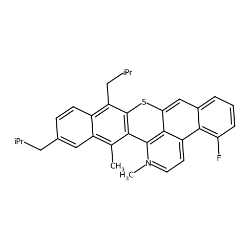 Cc1c2c(c(CC(C)C)c3ccc(CC(C)C)cc13)Sc1cc3cccc(F)c3c3cc[n+](C)c-2c13